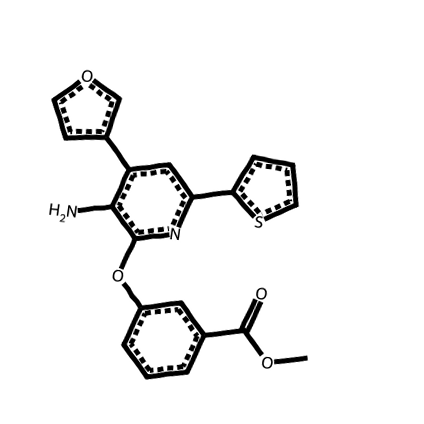 COC(=O)c1cccc(Oc2nc(-c3cccs3)cc(-c3ccoc3)c2N)c1